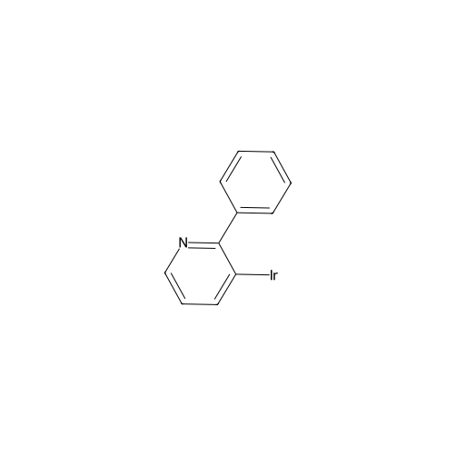 [Ir][c]1cccnc1-c1ccccc1